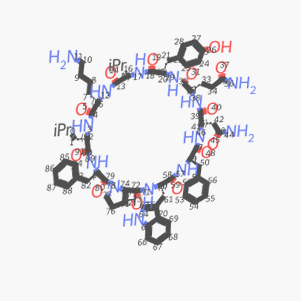 CC(C)C[C@@H]1NC(=O)[C@H](CCCCN)NC(=O)[C@H](C(C)C)NC(=O)[C@H](Cc2ccc(O)cc2)NC(=O)[C@H](CCC(N)=O)NC(=O)[C@H](CC(N)=O)NC(=O)[C@@H](Cc2ccccc2)NC(=O)[C@H](Cc2c[nH]c3ccccc23)NC(=O)[C@@H]2CCCN2C(=O)[C@@H](Cc2ccccc2)NC1=O